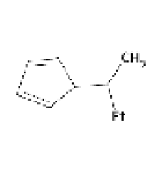 [CH2]CC(C)C1C=CC=C1